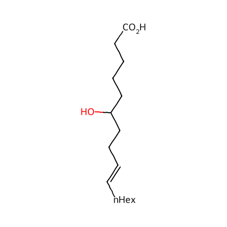 CCCCCCC=CCCC(O)CCCCC(=O)O